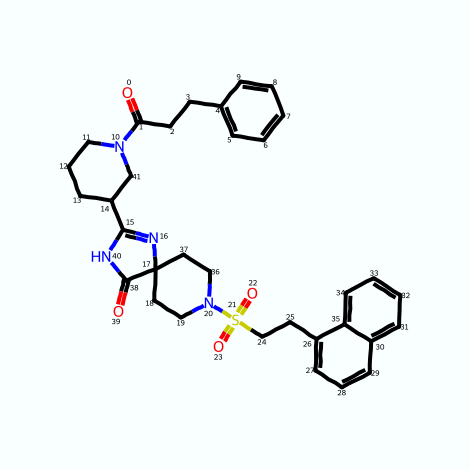 O=C(CCc1ccccc1)N1CCCC(C2=NC3(CCN(S(=O)(=O)CCc4cccc5ccccc45)CC3)C(=O)N2)C1